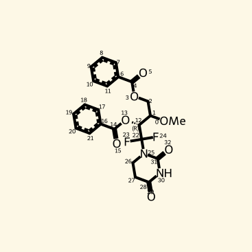 COC(COC(=O)c1ccccc1)[C@@H](OC(=O)c1ccccc1)C(F)(F)N1CCC(=O)NC1=O